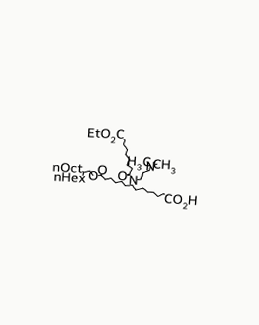 CCCCCCCCC(CCCCCC)COC(=O)CCCCCC(CCCCCCC(=O)O)N(CCCN(C)C)C(=O)CCCCCCCC(=O)OCC